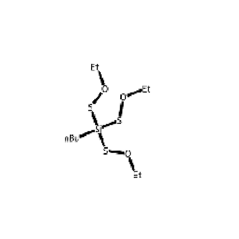 CCCC[Si](SOCC)(SOCC)SOCC